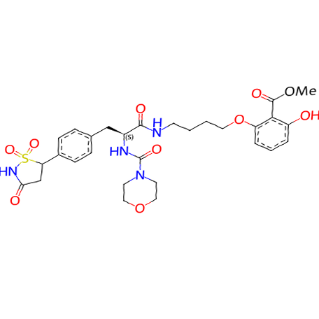 COC(=O)c1c(O)cccc1OCCCCNC(=O)[C@H](Cc1ccc(C2CC(=O)NS2(=O)=O)cc1)NC(=O)N1CCOCC1